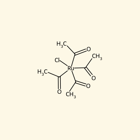 C[C](=O)[Ru]([Cl])([C](C)=O)([C](C)=O)[C](C)=O